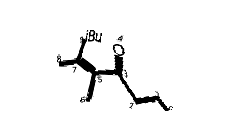 CC=CC(=O)C(C)=C(C)C(C)CC